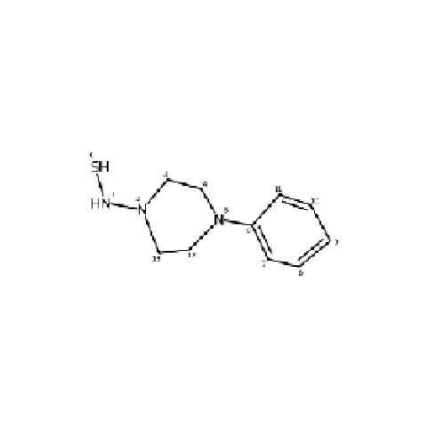 SNN1CCN(c2ccccc2)CC1